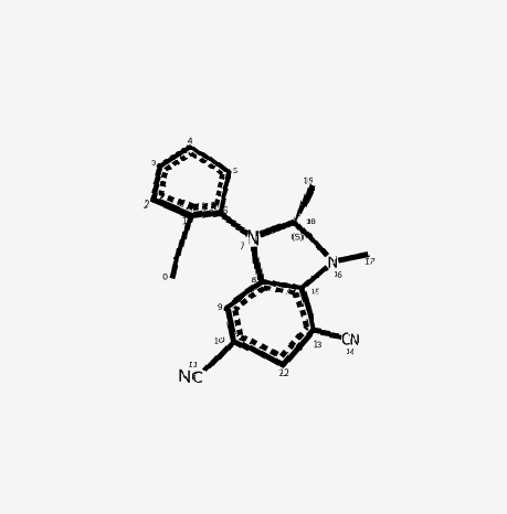 Cc1ccccc1N1c2cc(C#N)cc(C#N)c2N(C)[C@@H]1C